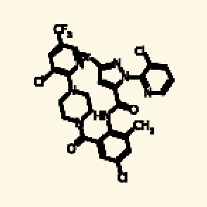 Cc1cc(Cl)cc(C(=O)N2CCN(c3ncc(C(F)(F)F)cc3Cl)CC2)c1NC(=O)c1cc(Br)nn1-c1ncccc1Cl